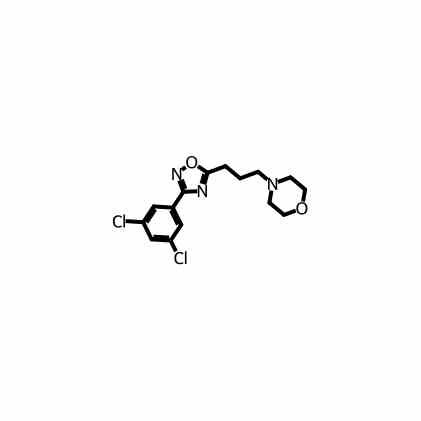 Clc1cc(Cl)cc(-c2noc(CCCN3CCOCC3)n2)c1